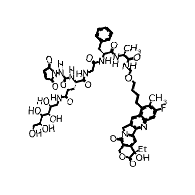 CC[C@@]1(O)C(=O)OCc2c1cc1n(c2=O)Cc2cc3c(CCCCOCNC(=O)[C@H](C)NC(=O)[C@H](Cc4ccccc4)NC(=O)CNC(=O)[C@H](CCC(=O)NC[C@H](O)[C@@H](O)[C@H](O)[C@H](O)CO)NC(=O)NN4C(=O)C=CC4=O)c(C)c(F)cc3nc2-1